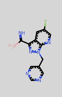 BC(=N)c1nn(Cc2cncnc2)c2ncc(F)cc12